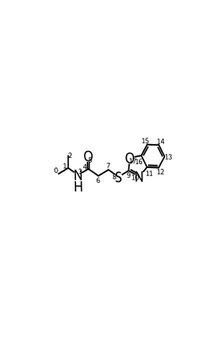 CC(C)NC(=O)CCSc1nc2ccccc2o1